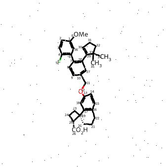 COc1ccc(F)c(-c2ccc(COc3ccc4c(c3)[C@]3(CCC4)CC[C@@H]3C(=O)O)cc2C2=CCCC2(C)C)c1